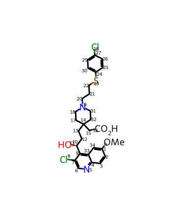 COc1ccc2ncc(Cl)c([C@@H](O)CCC3(CC(=O)O)CCN(CCCSc4ccc(Cl)cc4)CC3)c2c1